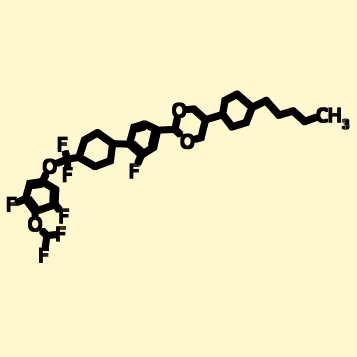 CCCCCC1CCC(C2COC(c3ccc(C4CCC(C(F)(F)Oc5cc(F)c(OC(F)F)c(F)c5)CC4)c(F)c3)OC2)CC1